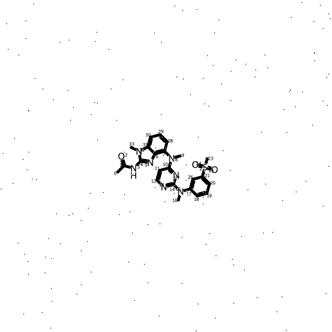 CC(=O)Nc1nc2c(N(C)c3ccnc(N(C)c4cccc(S(C)(=O)=O)c4)n3)cccc2n1C